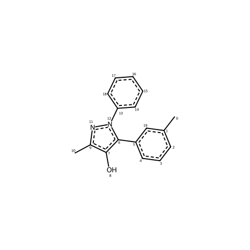 Cc1cccc(-c2c(O)c(C)nn2-c2ccccc2)c1